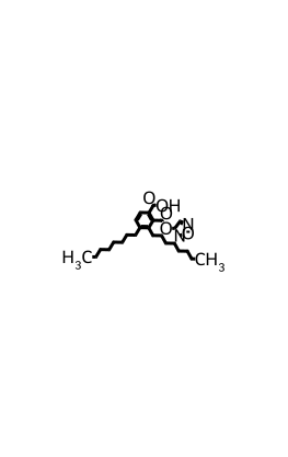 CCCCCCCCc1ccc(C(=O)O)c(C(=O)Oc2cnon2)c1CCCCCCCC